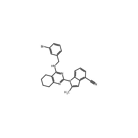 Cc1cc2c(C#N)cccc2n1-c1nc2c(c(NCc3cccc(Br)c3)n1)CCCC2